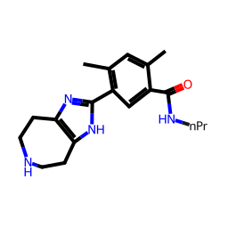 CCCNC(=O)c1cc(-c2nc3c([nH]2)CCNCC3)c(C)cc1C